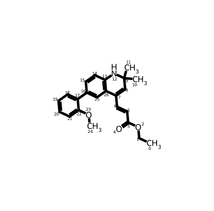 CCOC(=O)C=CC1=CC(C)(C)Nc2ccc(-c3ccccc3OC)cc21